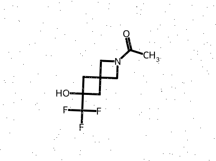 CC(=O)N1CC2(C1)CC(O)(C(F)(F)F)C2